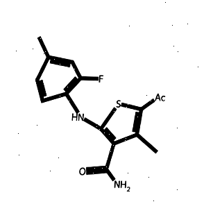 CC(=O)c1sc(Nc2ccc(C)cc2F)c(C(N)=O)c1C